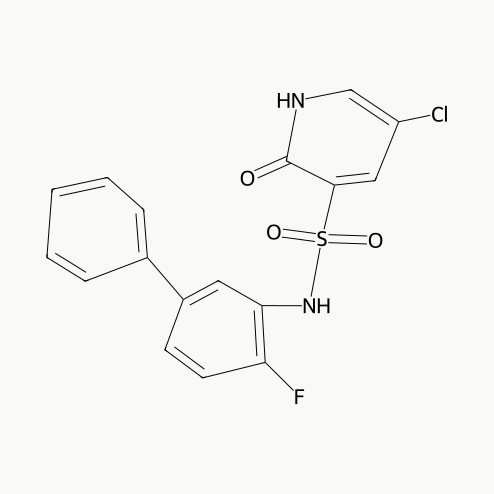 O=c1[nH]cc(Cl)cc1S(=O)(=O)Nc1cc(-c2ccccc2)ccc1F